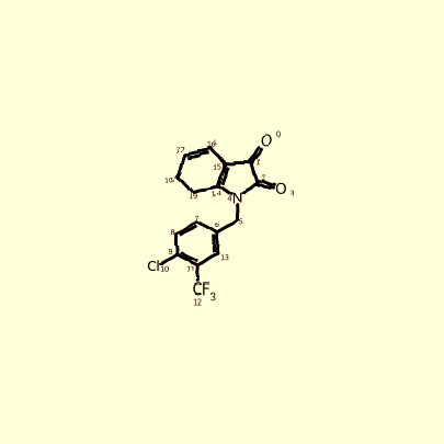 O=C1C(=O)N(Cc2ccc(Cl)c(C(F)(F)F)c2)C2=C1C=CCC2